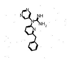 N=C(N)N(c1cncnc1)c1cccc(Cc2ccccc2)n1